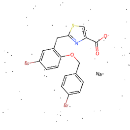 O=C([O-])c1csc(Cc2cc(Br)ccc2OCc2ccc(Br)cc2)n1.[Na+]